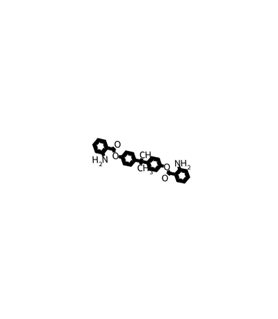 CC(C)(c1ccc(OC(=O)c2ccccc2N)cc1)c1ccc(OC(=O)c2ccccc2N)cc1